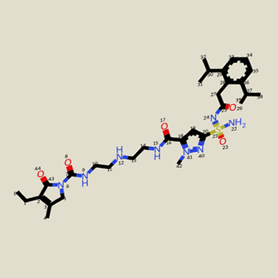 CCC1=C(C)CN(C(=O)NCCNCCNC(=O)c2cc(S(N)(=O)=NC(=O)Cc3c(C(C)C)cccc3C(C)C)nn2C)C1=O